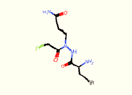 CC(C)CC(N)C(=O)NN(CCC(N)=O)C(=O)CF